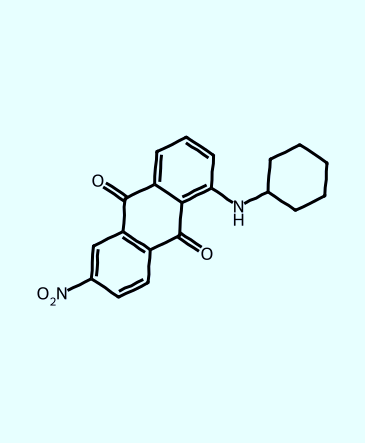 O=C1c2cc([N+](=O)[O-])ccc2C(=O)c2c(NC3CCCCC3)cccc21